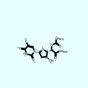 CCCCCC(=O)OC(C(=O)CCCCC)[C@H]1O[C@@H](n2cc(F)c(=O)[nH]c2=O)C[C@@H]1O